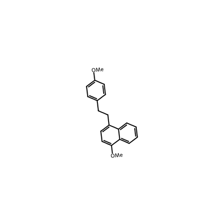 COc1ccc(CCc2ccc(OC)c3ccccc23)cc1